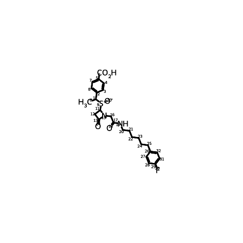 CC(c1ccc(C(=O)O)cc1)[S+]([O-])C1CC(=O)N1CC(=O)NCCCCCCc1ccc(F)cc1